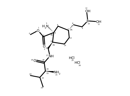 COC(=O)[C@@]1(N)C[C@H](CCB(O)O)CC[C@H]1CNC(=O)[C@@H](N)C(C)C.Cl.Cl